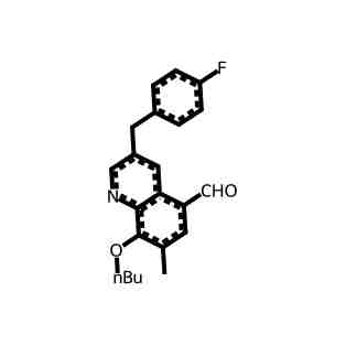 CCCCOc1c(C)cc(C=O)c2cc(Cc3ccc(F)cc3)cnc12